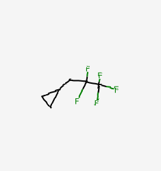 FC(F)(F)C(F)(F)CC1CC1